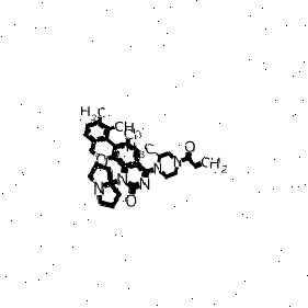 C=CC(=O)N1CCN(c2nc(=O)n(C34CCCN3CCC4)c3c4c(c(Cl)cc23)-c2c(ccc(C)c2C)CO4)[C@@H](C)C1